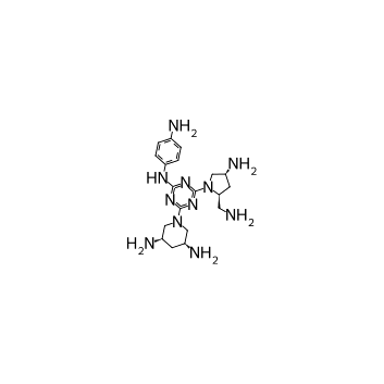 NC[C@@H]1C[C@H](N)CN1c1nc(Nc2ccc(N)cc2)nc(N2C[C@H](N)C[C@H](N)C2)n1